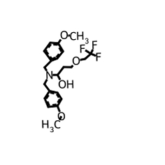 COc1ccc(CN(Cc2ccc(OC)cc2)C(O)CCOCC(F)(F)F)cc1